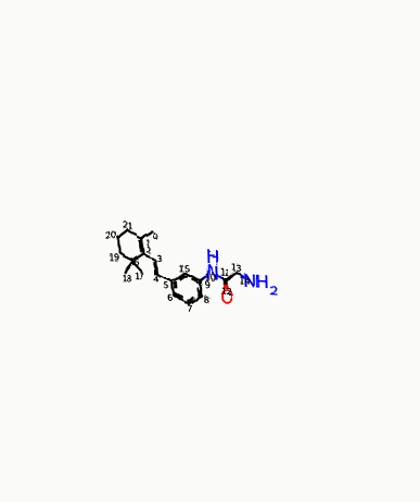 CC1=C(C=Cc2cccc(NC(=O)CN)c2)C(C)(C)CCC1